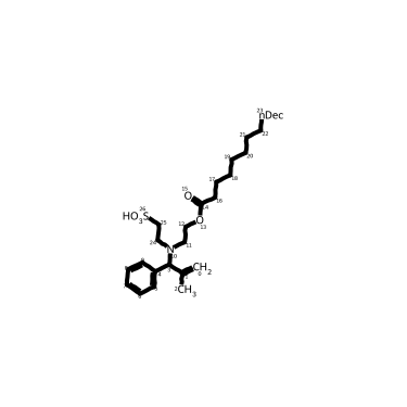 C=C(C)C(c1ccccc1)N(CCOC(=O)CCCCCCCCCCCCCCCCC)CCS(=O)(=O)O